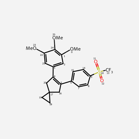 COc1cc(C2=C(c3ccc(S(=O)(=O)C(F)(F)F)cc3)CC3(CC3)C2)cc(OC)c1OC